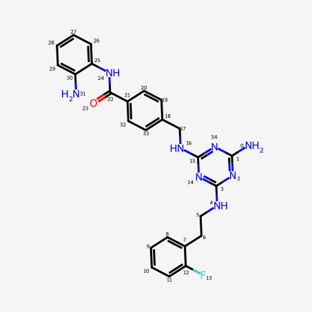 Nc1nc(NCCc2ccccc2F)nc(NCc2ccc(C(=O)Nc3ccccc3N)cc2)n1